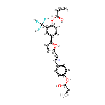 C=CC(=O)Oc1ccc(/C=C/c2ccc(-c3ccc(OC(=O)C=C)c(C(F)(F)F)c3)o2)cc1